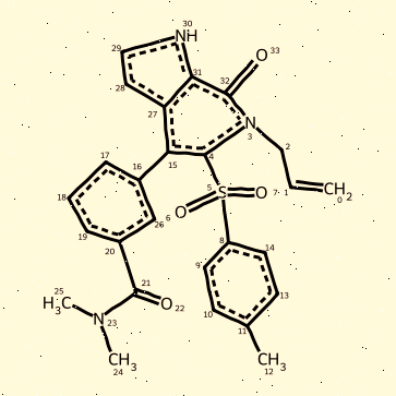 C=CCn1c(S(=O)(=O)c2ccc(C)cc2)c(-c2cccc(C(=O)N(C)C)c2)c2cc[nH]c2c1=O